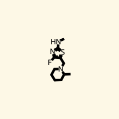 CNc1nc(F)c(CN2CCCCC2C)s1